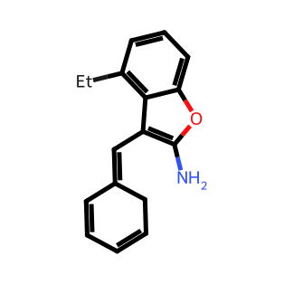 CCc1cccc2oc(N)c(/C=C3/C=CC=CC3)c12